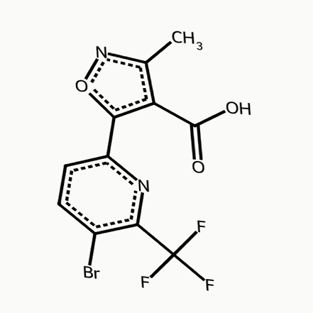 Cc1noc(-c2ccc(Br)c(C(F)(F)F)n2)c1C(=O)O